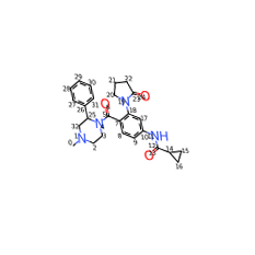 CN1CCN(C(=O)c2ccc(NC(=O)C3CC3)cc2N2CCCC2=O)C(c2ccccc2)C1